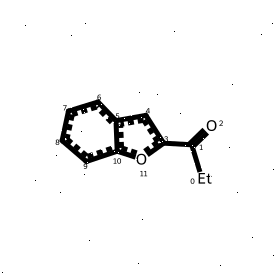 CCC(=O)c1cc2ccccc2o1